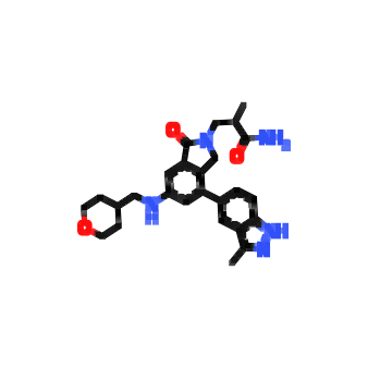 Cc1n[nH]c2ccc(-c3cc(NCC4CCOCC4)cc4c3CN(CC(C)C(N)=O)C4=O)cc12